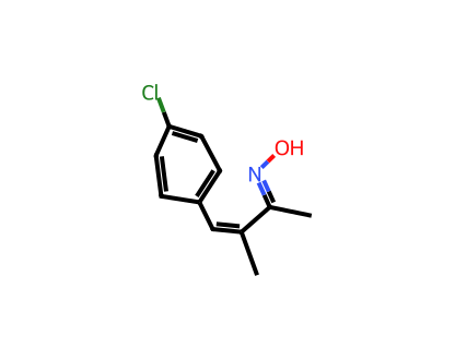 CC(=NO)/C(C)=C\c1ccc(Cl)cc1